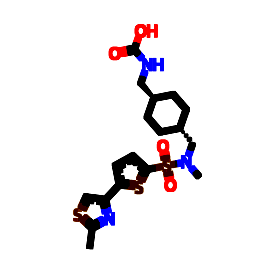 Cc1nc(-c2ccc(S(=O)(=O)N(C)C[C@H]3CC[C@H](CNC(=O)O)CC3)s2)cs1